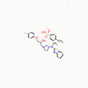 CN(c1nc2ccccc2s1)C1CCN(CC(O)COc2ccc(F)cc2)C1.Cc1ccc(S(=O)(=O)O)cc1